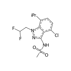 CC(C)c1ccc(Cl)c2c(NS(C)(=O)=O)nn(CC(F)F)c12